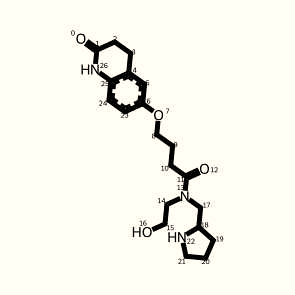 O=C1CCc2cc(OCCCC(=O)N(CCO)CC3CCCN3)ccc2N1